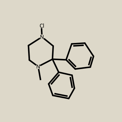 CN1CCN(Cl)CC1(c1ccccc1)c1ccccc1